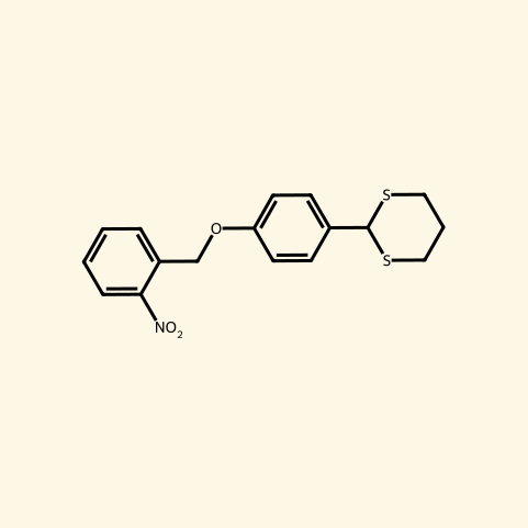 O=[N+]([O-])c1ccccc1COc1ccc(C2SCCCS2)cc1